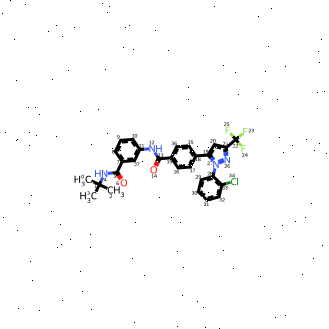 CC(C)(C)NC(=O)c1cccc(NC(=O)c2ccc(-c3cc(C(F)(F)F)nn3-c3ccccc3Cl)cc2)c1